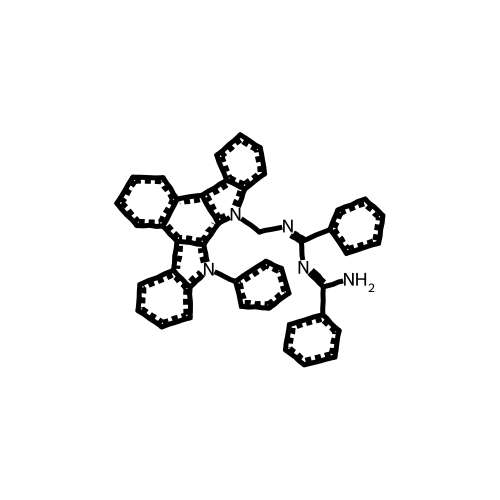 N/C(=N\C(=N/Cn1c2ccccc2c2c3ccccc3c3c4ccccc4n(-c4ccccc4)c3c21)c1ccccc1)c1ccccc1